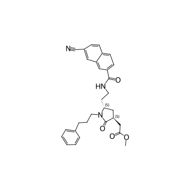 COC(=O)C[C@@H]1C[C@@H](CCNC(=O)c2ccc3ccc(C#N)cc3c2)N(CCCc2ccccc2)C1=O